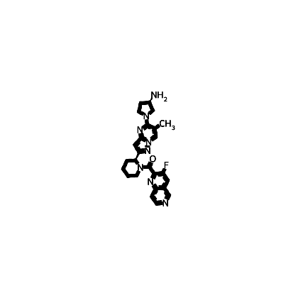 Cc1cn2nc([C@@H]3CCCCN3C(=O)c3nc4ccncc4cc3F)cc2nc1N1CC[C@H](N)C1